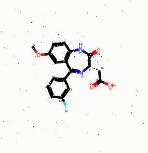 COc1ccc2c(c1)C(c1cccc(F)c1)=N[C@@H](CC(=O)O)C(=O)N2